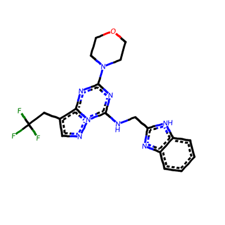 FC(F)(F)Cc1cnn2c(NCc3nc4ccccc4[nH]3)nc(N3CCOCC3)nc12